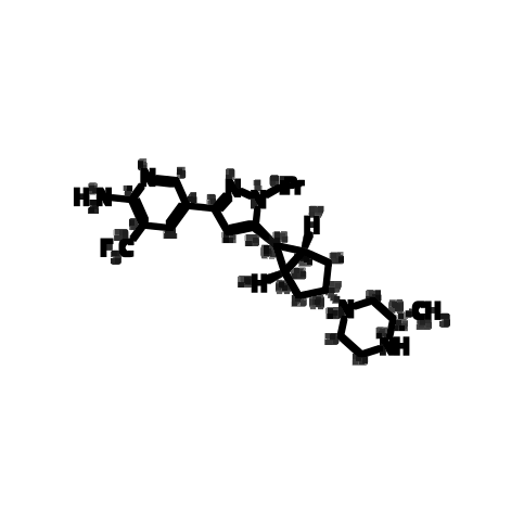 CC(C)n1nc(-c2cnc(N)c(C(F)(F)F)c2)cc1[C@H]1[C@@H]2C[C@H](N3CCN[C@@H](C)C3)C[C@@H]21